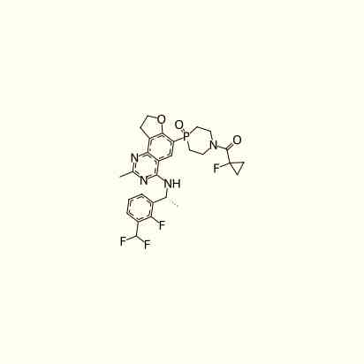 Cc1nc(N[C@H](C)c2cccc(C(F)F)c2F)c2cc(P3(=O)CCN(C(=O)C4(F)CC4)CC3)c3c(c2n1)CCO3